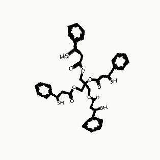 O=C(CC(S)c1ccccc1)OCC(COC(=O)CC(S)c1ccccc1)(COC(=O)CC(S)c1ccccc1)OC(=O)CC(S)c1ccccc1